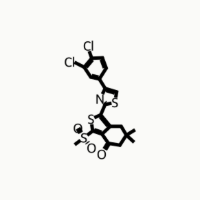 CC1(C)CC(=O)c2c(S(C)(=O)=O)sc(-c3nc(-c4ccc(Cl)c(Cl)c4)cs3)c2C1